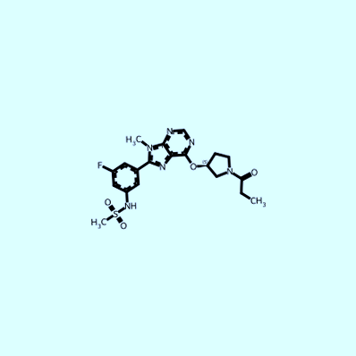 CCC(=O)N1CC[C@H](Oc2ncnc3c2nc(-c2cc(F)cc(NS(C)(=O)=O)c2)n3C)C1